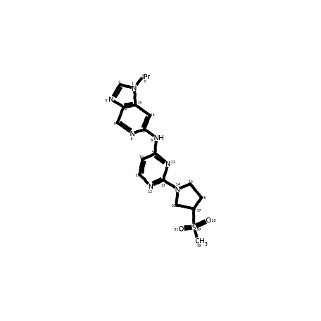 CC(C)n1cnc2cnc(Nc3ccnc(N4CCC(S(C)(=O)=O)C4)n3)cc21